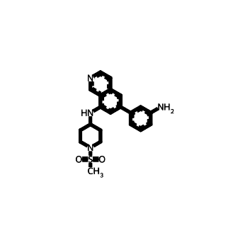 CS(=O)(=O)N1CCC(Nc2cc(-c3cccc(N)c3)cc3ccncc23)CC1